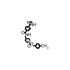 Cc1ccc(COC(=O)N2CCC(CNC(=O)c3ccc(-c4ncc[nH]4)cc3)CC2)cc1